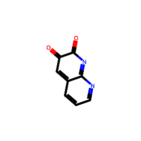 O=C1C=c2cccnc2=NC1=O